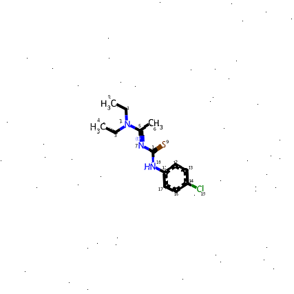 CCN(CC)/C(C)=N/C(=S)Nc1ccc(Cl)cc1